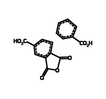 O=C(O)c1ccc2c(c1)C(=O)OC2=O.O=C(O)c1ccccc1